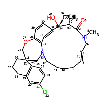 C[C@@H]1C(=O)N(C)C/C=C/CCCCN2C[C@@]3(CCCc4cc(Cl)ccc43)COc3ccc(cc32)[C@@]1(O)C(=O)O